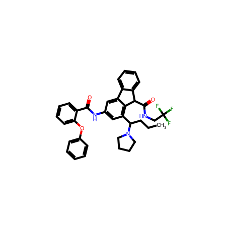 CCCC(c1cc(NC(=O)c2ccccc2Oc2ccccc2)cc2c1C(C(=O)NCC(F)(F)F)c1ccccc1-2)N1CCCC1